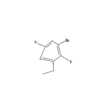 C[CH]c1cc(F)cc(Br)c1F